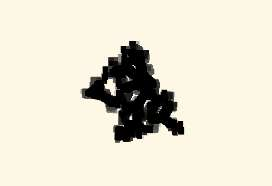 Cc1nn(C(C)(C)C)c2nc(N(CC3CC3)CC3CC3)c(CN(Cc3cc(C(F)(F)F)cc(C(F)(F)F)c3)c3ncc(C#N)cn3)cc12